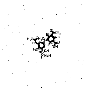 CC(=O)Nc1cccc([As](=O)(O)O)c1O.CNc1c(I)c(C(C)=O)c(I)c(C(=O)O)c1I.[NaH]